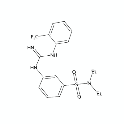 CCN(CC)S(=O)(=O)c1cccc(NC(=N)Nc2ccccc2C(F)(F)F)c1